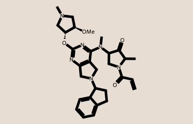 C=CC(=O)N1CC(N(C)c2nc(O[C@@H]3CN(C)C[C@H]3OC)nc3c2CN(C2CCc4ccccc42)C3)C(=O)C1C